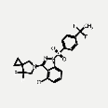 CC(F)(F)c1ccc(S(=O)(=O)n2nc(N3CC(F)(F)C4(CC4)C3)c3c(Cl)cccc32)cc1